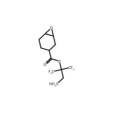 O=C(OC(CS(=O)(=O)O)(C(F)(F)F)C(F)(F)F)C1CCC2OC2C1